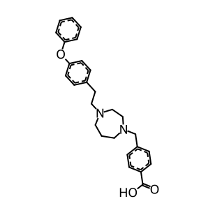 O=C(O)c1ccc(CN2CCCN(CCc3ccc(Oc4ccccc4)cc3)CC2)cc1